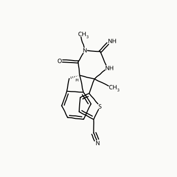 CN1C(=N)NC(C)(c2ccc(C#N)s2)[C@]2(Cc3ccccc32)C1=O